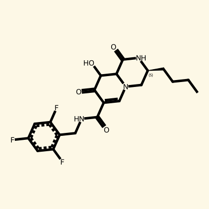 CCCC[C@H]1CN2C=C(C(=O)NCc3c(F)cc(F)cc3F)C(=O)C(O)C2C(=O)N1